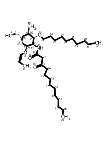 C/C=C\O[C@H]1O[C@H](CO)[C@@H](C)[C@H](OCCCCCCCCCC)[C@H]1NC(=O)CC(=O)CCCCCCCCCC